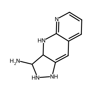 NC1NNC2=Cc3cccnc3NC21